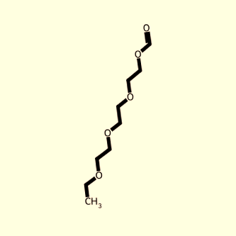 CCOCCOCCOCCOC=O